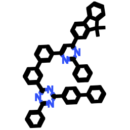 CC1(C)c2ccccc2-c2ccc(-c3cc(-c4cccc(-c5cccc(-c6nc(-c7ccccc7)nc(-c7ccc(-c8ccccc8)cc7)n6)c5)c4)nc(-c4ccccc4)n3)cc21